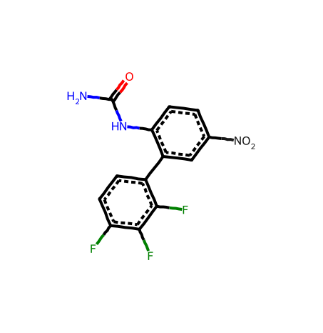 NC(=O)Nc1ccc([N+](=O)[O-])cc1-c1ccc(F)c(F)c1F